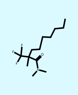 CCCCCCCC(C)(C(=O)N(C)C)C(F)(F)F